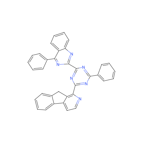 c1ccc(-c2nc(-c3nc(-c4ccccc4)c4ccccc4n3)nc(-c3nccc4c3Cc3ccccc3-4)n2)cc1